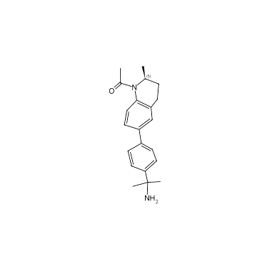 CC(=O)N1c2ccc(-c3ccc(C(C)(C)N)cc3)cc2CC[C@@H]1C